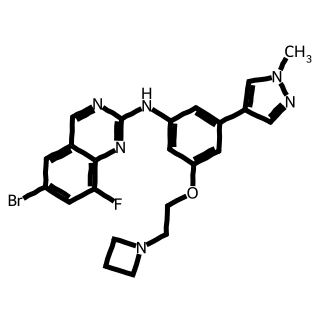 Cn1cc(-c2cc(Nc3ncc4cc(Br)cc(F)c4n3)cc(OCCN3CCC3)c2)cn1